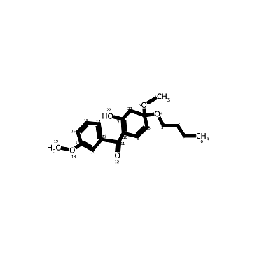 CCCCOC1(OC)C=CC(C(=O)c2cccc(OC)c2)=C(O)C1